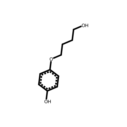 OCCCCOc1ccc(O)cc1